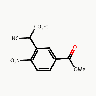 CCOC(=O)C(C#N)c1cc(C(=O)OC)ccc1[N+](=O)[O-]